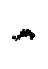 CC(OC(=O)OCCO[N+](=O)[O-])OC(=O)C1=Cc2cc(S(F)(F)(F)(F)F)ccc2O[C@@H]1C(F)(F)F